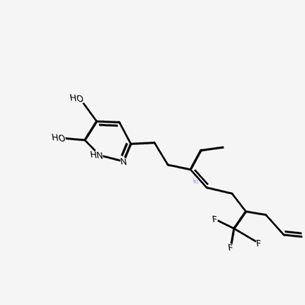 C=CCC(C/C=C(\CC)CCC1=NNC(O)C(O)=C1)C(F)(F)F